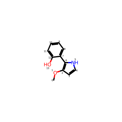 COc1cc[nH]c1-c1ccccc1O